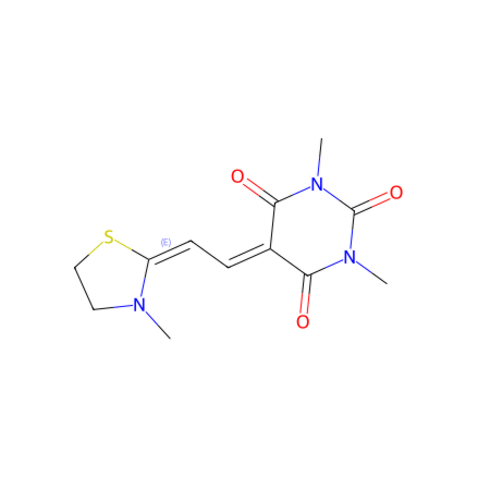 CN1C(=O)C(=C/C=C2/SCCN2C)C(=O)N(C)C1=O